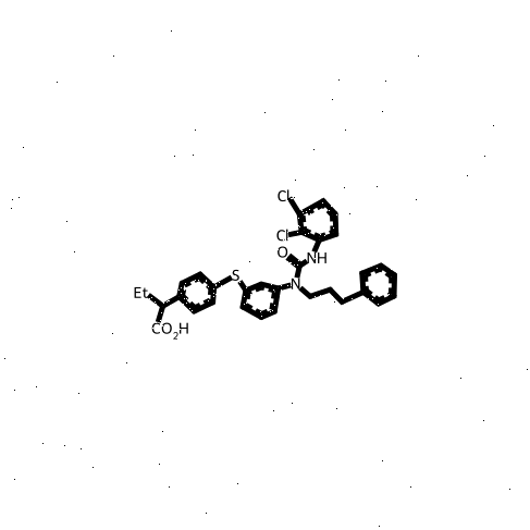 CCC(C(=O)O)c1ccc(Sc2cccc(N(CCCc3ccccc3)C(=O)Nc3cccc(Cl)c3Cl)c2)cc1